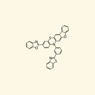 c1cc(-c2nc3ccccc3s2)cc(N2c3ccc(-c4nc5ccccc5o4)cc3Sc3cc4c(cc32)oc2ccccc24)c1